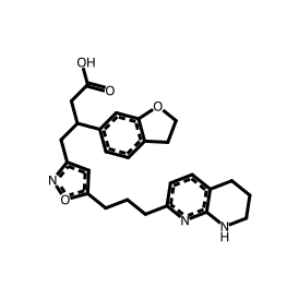 O=C(O)CC(Cc1cc(CCCc2ccc3c(n2)NCCC3)on1)c1ccc2c(c1)OCC2